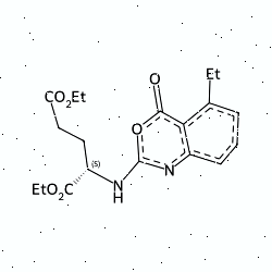 CCOC(=O)CC[C@H](Nc1nc2cccc(CC)c2c(=O)o1)C(=O)OCC